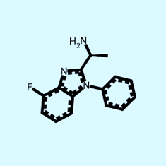 C[C@H](N)c1nc2c(F)cccc2n1-c1ccccc1